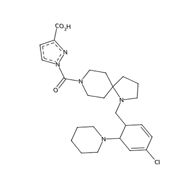 O=C(O)c1ccn(C(=O)N2CCC3(CCCN3CC3C=CC(Cl)=CC3N3CCCCC3)CC2)n1